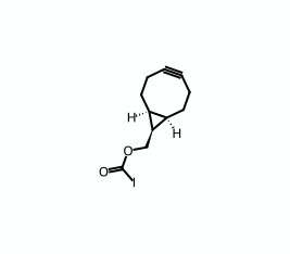 O=C(I)OC[C@@H]1[C@@H]2CCC#CCC[C@@H]21